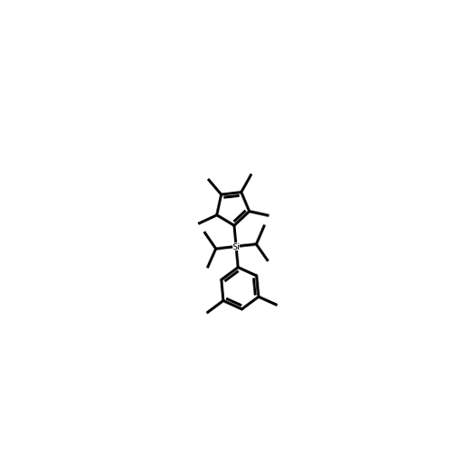 CC1=C(C)C(C)C([Si](c2cc(C)cc(C)c2)(C(C)C)C(C)C)=C1C